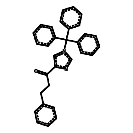 O=C(CCc1ccccc1)c1cn(C(c2ccccc2)(c2ccccc2)c2ccccc2)cn1